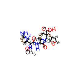 CON=C(C(=O)NC1C(=O)N2CC(SC3CCOC3)(C(=O)O)CS[C@H]12)c1csc(N)n1